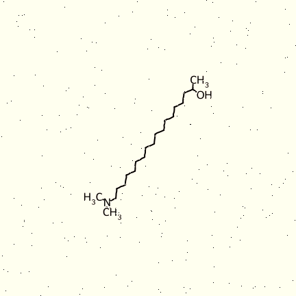 CC(O)CCCCCCCCCCCCCCCCN(C)C